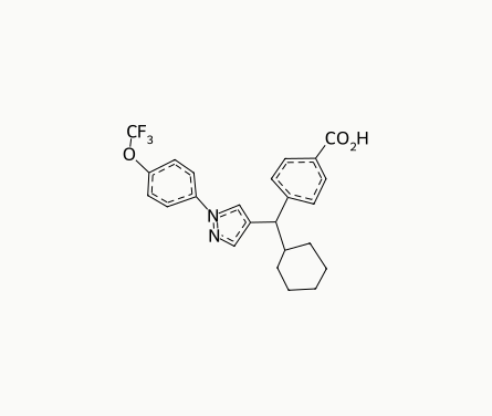 O=C(O)c1ccc(C(c2cnn(-c3ccc(OC(F)(F)F)cc3)c2)C2CCCCC2)cc1